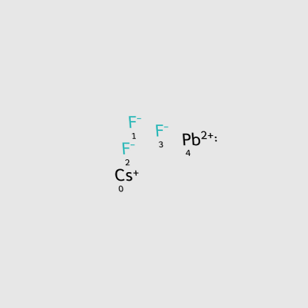 [Cs+].[F-].[F-].[F-].[Pb+2]